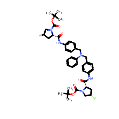 CC(C)(C)OC(=O)N1CC(F)C[C@H]1C(=O)Nc1ccc(CN(Cc2ccc(NC(=O)[C@@H]3C[C@H](F)CN3C(=O)OC(C)(C)C)cc2)c2ccccc2)cc1